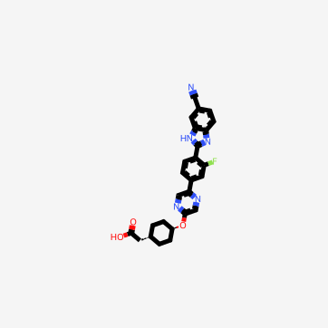 N#Cc1ccc2nc(-c3ccc(-c4cnc(O[C@H]5CC[C@@H](CC(=O)O)CC5)cn4)cc3F)[nH]c2c1